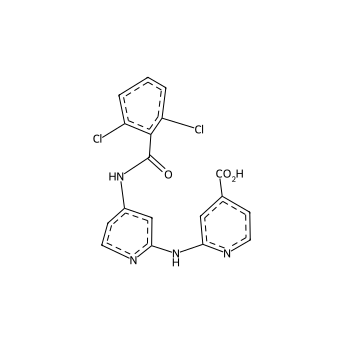 O=C(O)c1ccnc(Nc2cc(NC(=O)c3c(Cl)cccc3Cl)ccn2)c1